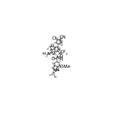 COc1cc(C(=O)NCC(O)(c2cc3c(c(-c4cnc(C#N)c(Cl)c4)n2)OC[C@]3(C)C(N)=O)C(F)(F)F)cc2cn(C3CC3)nc12